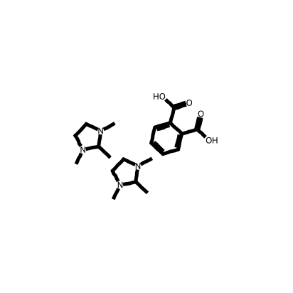 CC1N(C)CCN1C.CC1N(C)CCN1C.O=C(O)c1ccccc1C(=O)O